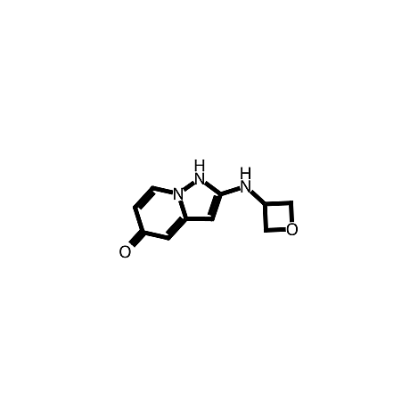 O=c1ccn2[nH]c(NC3COC3)cc2c1